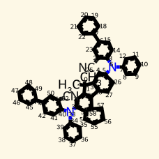 CC1(C)c2cc(N(c3ccccc3)c3ccc(-c4ccccc4)cc3C#N)ccc2-c2c1cc(N(c1ccccc1)c1ccc(-c3ccccc3)cc1C#N)c1ccccc21